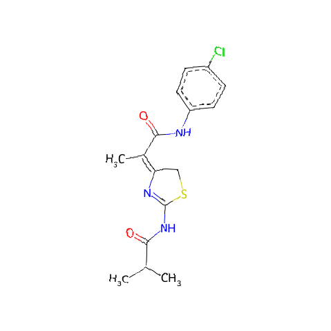 CC(C(=O)Nc1ccc(Cl)cc1)=C1CSC(NC(=O)C(C)C)=N1